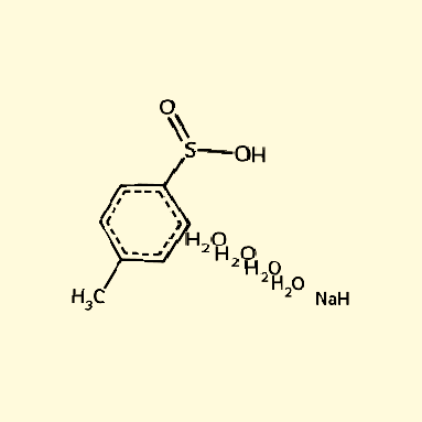 Cc1ccc(S(=O)O)cc1.O.O.O.O.[NaH]